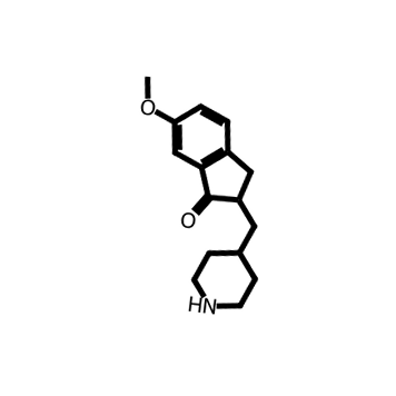 COc1ccc2c(c1)C(=O)C(CC1CCNCC1)C2